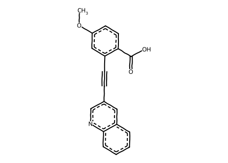 COc1ccc(C(=O)O)c(C#Cc2cnc3ccccc3c2)c1